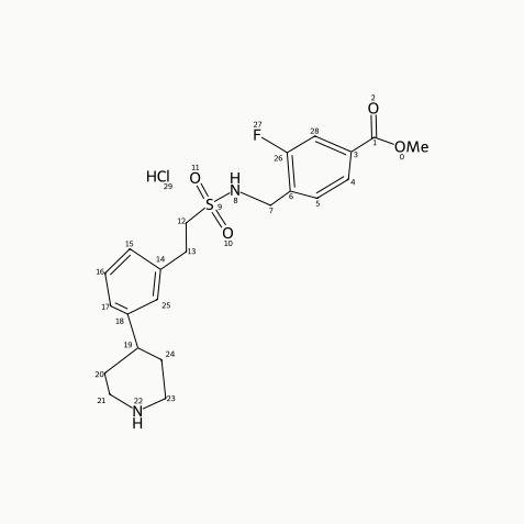 COC(=O)c1ccc(CNS(=O)(=O)CCc2cccc(C3CCNCC3)c2)c(F)c1.Cl